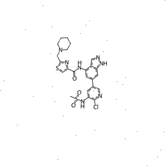 CS(=O)(=O)Nc1cc(-c2cc(NC(=O)c3csc(CN4CCCCC4)n3)c3cn[nH]c3c2)cnc1Cl